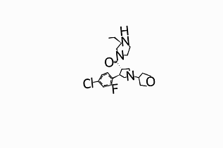 CC[C@@H]1CN(C(=O)[C@@H]2CN(C3CCOCC3)C[C@H]2c2ccc(Cl)cc2F)CCN1